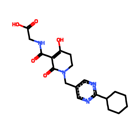 O=C(O)CNC(=O)C1=C(O)CCN(Cc2cnc(C3CCCCC3)nc2)C1=O